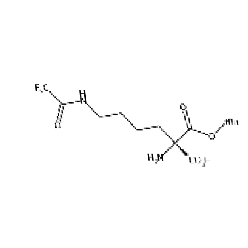 CC(C)(C)OC(=O)[C@](N)(CCCCNC(=O)C(F)(F)F)C(=O)O